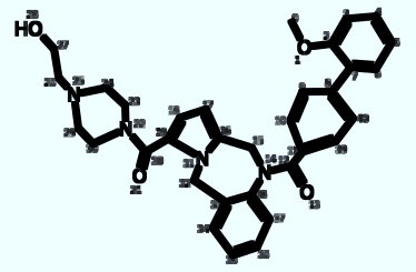 COc1ccccc1-c1ccc(C(=O)N2Cc3ccc(C(=O)N4CCN(CCO)CC4)n3Cc3ccccc32)cc1